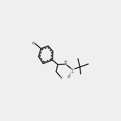 CC(C)(C)[S@+]([O-])NC(CF)c1ccc(Cl)cc1